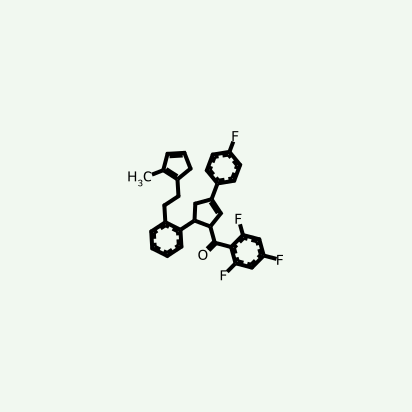 CC1=C(CCc2ccccc2C2CC(c3ccc(F)cc3)=CC2C(=O)c2c(F)cc(F)cc2F)CC=C1